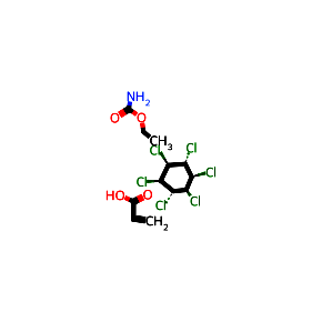 C=CC(=O)O.CCOC(N)=O.Cl[C@H]1[C@H](Cl)[C@@H](Cl)[C@@H](Cl)[C@H](Cl)[C@H]1Cl